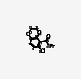 CC(C)C(=O)c1c(Cl)ccc2c1OCCO2